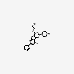 Cc1cc(-c2ccccc2)nc2sc3c(OCCO)nc(N4CCNCC4)nc3c12